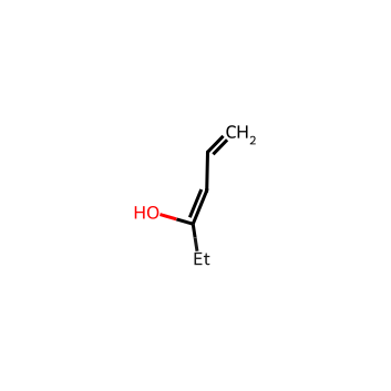 C=CC=C(O)CC